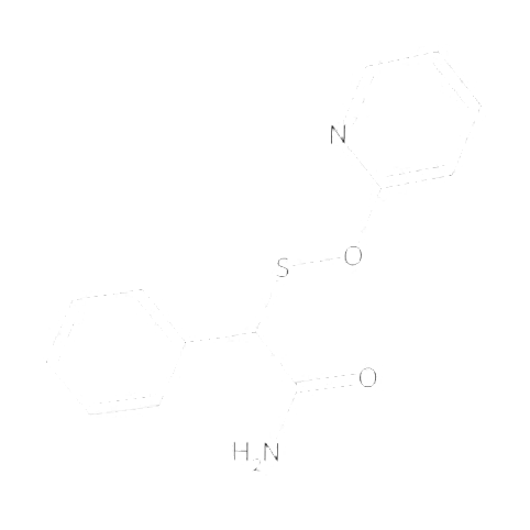 NC(=O)C(SOc1ccccn1)c1ccccc1